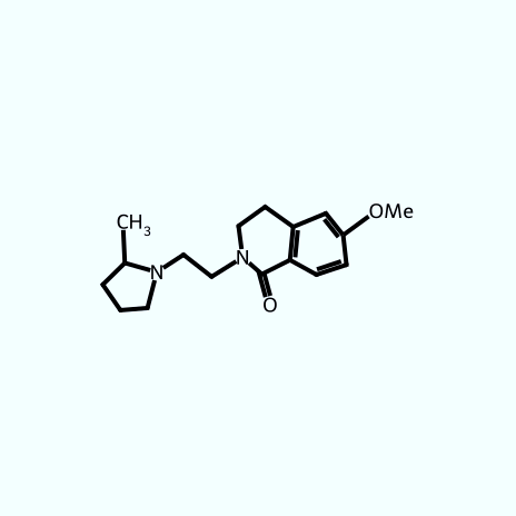 COc1ccc2c(c1)CCN(CCN1CCCC1C)C2=O